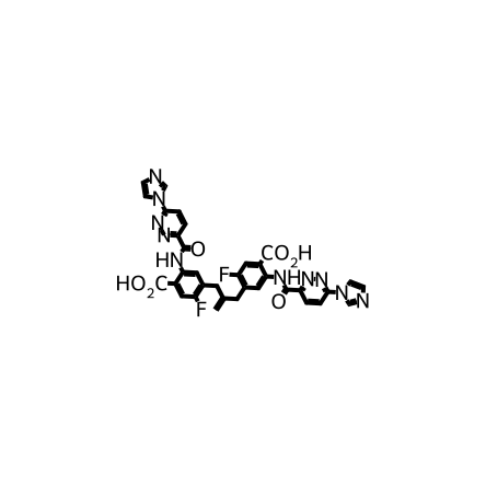 C=C(Cc1cc(NC(=O)c2ccc(-n3ccnc3)nn2)c(C(=O)O)cc1F)Cc1cc(NC(=O)c2ccc(-n3ccnc3)nn2)c(C(=O)O)cc1F